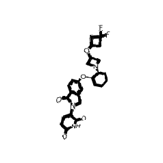 O=C1CCC(N2Cc3cc(O[C@@H]4CCCC[C@@H]4N4CC(OC5CC(F)(F)C5)C4)ccc3C2=O)C(=O)N1